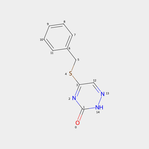 O=c1nc(SCc2ccccc2)cn[nH]1